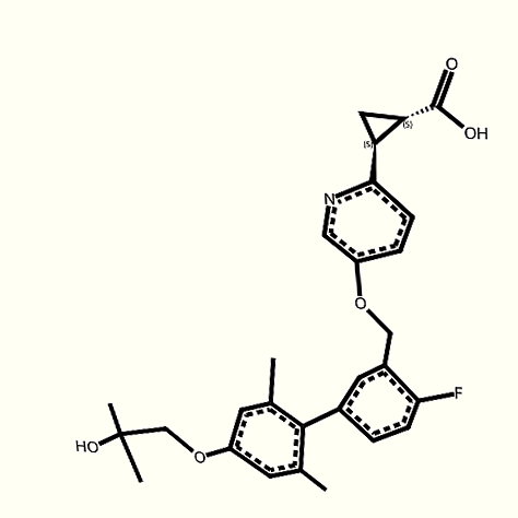 Cc1cc(OCC(C)(C)O)cc(C)c1-c1ccc(F)c(COc2ccc([C@H]3C[C@@H]3C(=O)O)nc2)c1